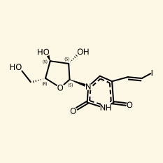 O=c1[nH]c(=O)n([C@H]2O[C@H](CO)[C@@H](O)[C@@H]2O)cc1C=CI